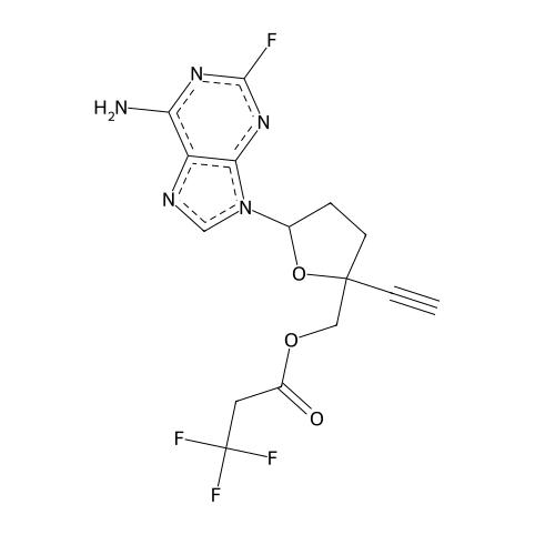 C#CC1(COC(=O)CC(F)(F)F)CCC(n2cnc3c(N)nc(F)nc32)O1